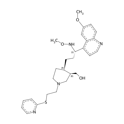 CON[C@@H](CC[C@@H]1CCN(CCSc2ccccn2)C[C@@H]1CO)c1ccnc2ccc(OC)cc12